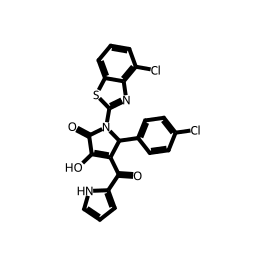 O=C(C1=C(O)C(=O)N(c2nc3c(Cl)cccc3s2)C1c1ccc(Cl)cc1)c1ccc[nH]1